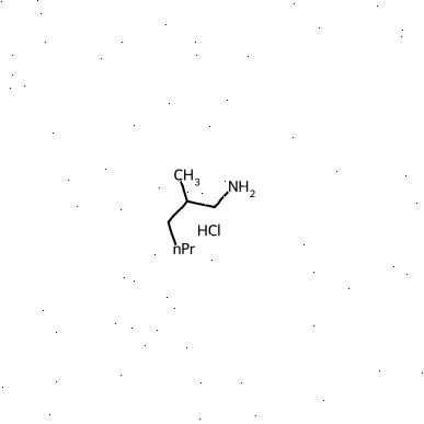 CCCCC(C)CN.Cl